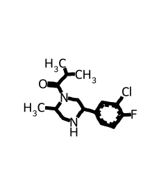 CC(C)C(=O)N1CC(c2ccc(F)c(Cl)c2)NCC1C